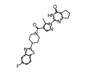 Cc1c(C(=O)N2CCC(c3nc4cc(F)ccc4s3)CC2)cnn1-c1nc2c(c(=O)[nH]1)CCC2